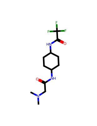 CN(C)CC(=O)NC1CCC(NC(=O)C(F)(F)F)CC1